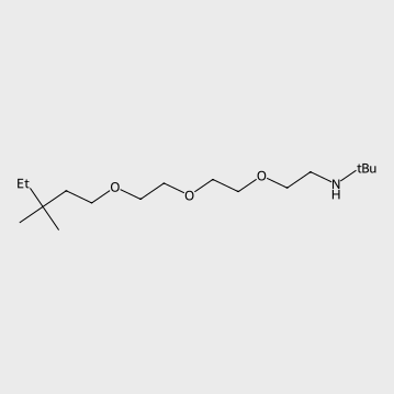 CCC(C)(C)CCOCCOCCOCCNC(C)(C)C